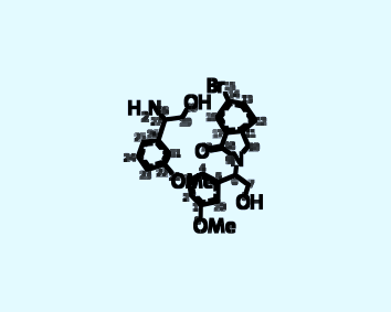 COc1cccc(C(CO)N2Cc3ccc(Br)cc3C2=O)c1.COc1cccc(C(N)CO)c1